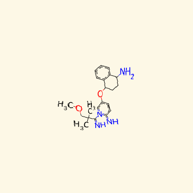 COCC(C)(C)C(=N)n1cc(OC2CCC(N)c3ccccc32)ccc1=N